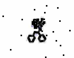 C\N=N/C(=N\C(=C\c1ccccc1)c1ccccc1)S(F)(F)(F)(F)Cl